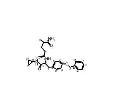 CC(C[CH]C(=O)NC(Cc1ccc(OCc2ccccc2)cc1)C(=O)NC1CC1)C(N)=O